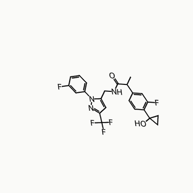 CC(C(=O)NCc1cc(C(F)(F)F)nn1-c1cccc(F)c1)c1ccc(C2(O)CC2)c(F)c1